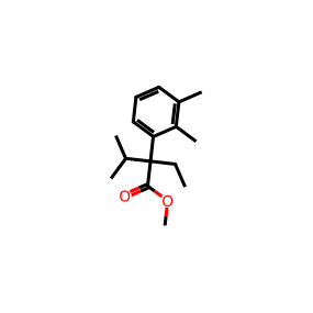 CCC(C(=O)OC)(c1cccc(C)c1C)C(C)C